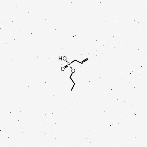 C=CCP(=O)(O)OCCC